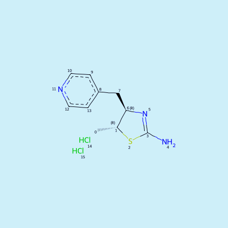 C[C@H]1SC(N)=N[C@@H]1Cc1ccncc1.Cl.Cl